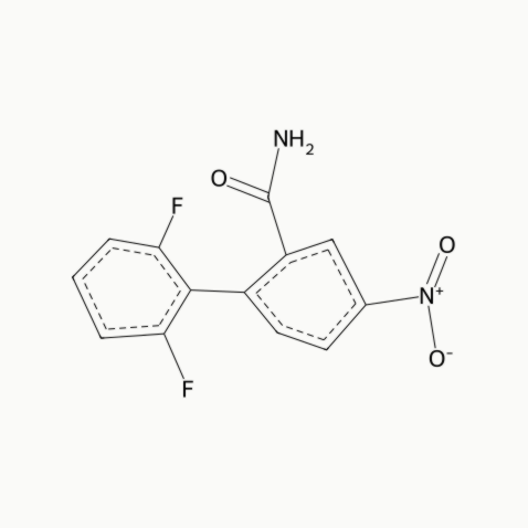 NC(=O)c1cc([N+](=O)[O-])ccc1-c1c(F)cccc1F